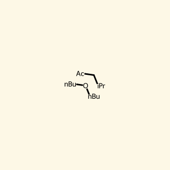 CC(=O)CC(C)C.CCCCOCCCC